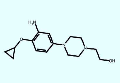 Nc1cc(N2CCN(CCO)CC2)ccc1OC1CC1